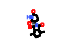 Cc1ccc(C)c2c1C(=O)N([C@H]1CCC(=O)NC1=O)C2=O